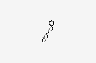 O=[C]OCCCOc1ccccc1